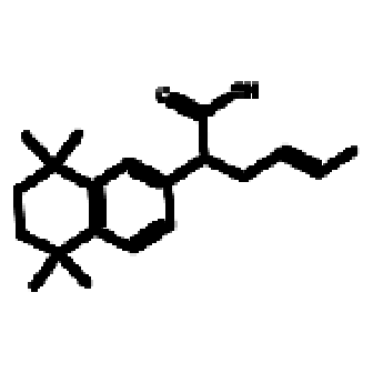 CC=CCC(C(=O)O)c1ccc2c(c1)C(C)(C)CCC2(C)C